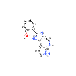 Oc1ccccc1-c1nc2cnc3[nH]ccc3c2[nH]1